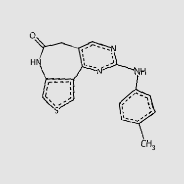 Cc1ccc(Nc2ncc3c(n2)-c2cscc2NC(=O)C3)cc1